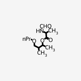 CCCOCC(C)C(C)OC(=O)C(C)NC=O